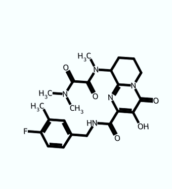 Cc1cc(CNC(=O)c2nc3n(c(=O)c2O)CCCC3N(C)C(=O)C(=O)N(C)C)ccc1F